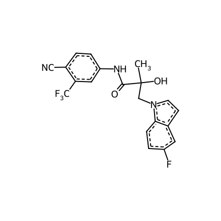 CC(O)(Cn1ccc2cc(F)ccc21)C(=O)Nc1ccc(C#N)c(C(F)(F)F)c1